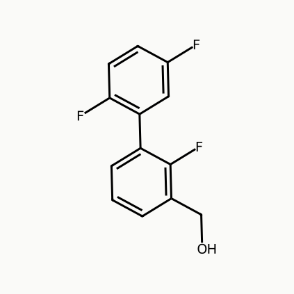 OCc1cccc(-c2cc(F)ccc2F)c1F